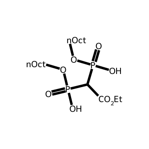 CCCCCCCCOP(=O)(O)C(C(=O)OCC)P(=O)(O)OCCCCCCCC